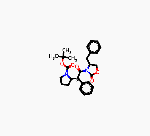 CC(C)(C)OC(=O)N1CCCC1[C@@H](C(=O)N1C(=O)OCC1Cc1ccccc1)c1ccccc1